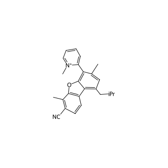 Cc1cc(CC(C)C)c2c(oc3c(C)c(C#N)ccc32)c1-c1cccc[n+]1C